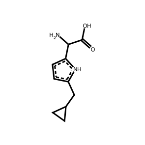 NC(C(=O)O)c1ccc(CC2CC2)[nH]1